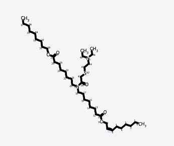 CCCCCC/C=C\COC(=O)CCCCCCCN(CCCCCCCC(=O)OCCCCCCCCC)C(=O)CSCCN(CC)CC